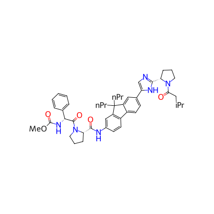 CCCC1(CCC)c2cc(NC(=O)[C@@H]3CCCN3C(=O)[C@H](NC(=O)OC)c3ccccc3)ccc2-c2ccc(-c3cnc([C@@H]4CCCN4C(=O)CC(C)C)[nH]3)cc21